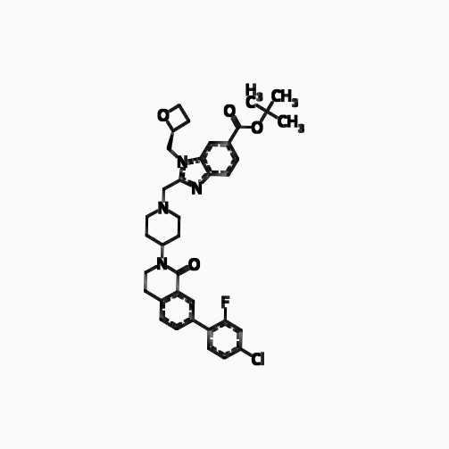 CC(C)(C)OC(=O)c1ccc2nc(CN3CCC(N4CCc5ccc(-c6ccc(Cl)cc6F)cc5C4=O)CC3)n(C[C@@H]3CCO3)c2c1